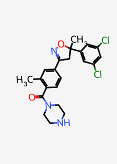 Cc1cc(C2=NOC(C)(c3cc(Cl)cc(Cl)c3)C2)ccc1C(=O)N1CCNCC1